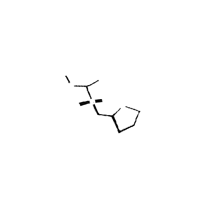 COC(C)S(=O)(=O)CC1CCCN1